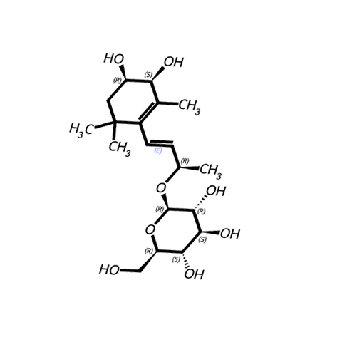 CC1=C(/C=C/[C@@H](C)O[C@@H]2O[C@H](CO)[C@@H](O)[C@H](O)[C@H]2O)C(C)(C)C[C@@H](O)[C@H]1O